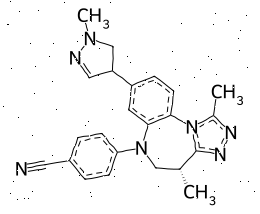 Cc1nnc2n1-c1ccc(C3C=NN(C)C3)cc1N(c1ccc(C#N)cc1)C[C@H]2C